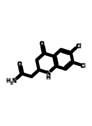 NC(=O)CC1CC(=O)c2cc(Cl)c(Cl)cc2N1